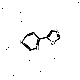 [c]1cc(-c2cnco2)ncn1